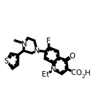 CCn1cc(C(=O)O)c(=O)c2cc(F)c(N3CCN(C)C(c4ccsc4)C3)cc21